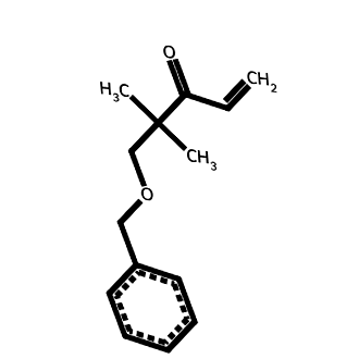 C=CC(=O)C(C)(C)COCc1ccccc1